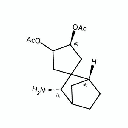 CC(=O)OC1CC2(C[C@@H]1OC(C)=O)[C@@H]1CCC(C1)[C@@H]2N